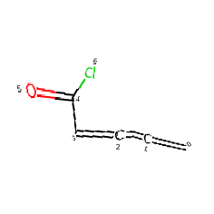 C=C=C=CC(=O)Cl